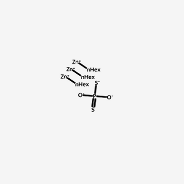 CCCCC[CH2][Zn+].CCCCC[CH2][Zn+].CCCCC[CH2][Zn+].[O-]P([O-])(=S)[S-]